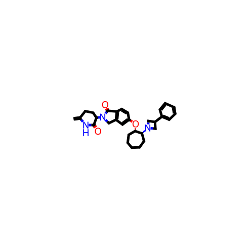 C=C1CCC(N2Cc3cc(O[C@H]4CCCCC[C@@H]4N4CC(c5ccccc5)C4)ccc3C2=O)C(=O)N1